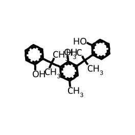 Cc1cc(C(C)(C)c2ccccc2O)c(O)c(C(C)(C)c2ccccc2O)c1